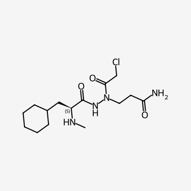 CN[C@@H](CC1CCCCC1)C(=O)NN(CCC(N)=O)C(=O)CCl